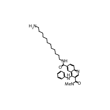 CNC(=O)c1cnc2ccc(C(=O)NCCCCCCCCCCCCN)cc2c1Nc1ccccc1